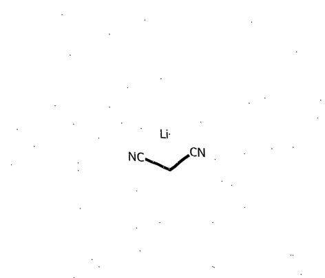 N#CCC#N.[Li]